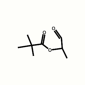 CC(C=O)OC(=O)C(C)(C)C